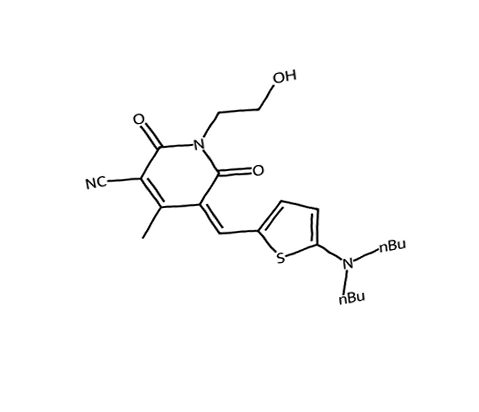 CCCCN(CCCC)c1ccc(/C=C2\C(=O)N(CCO)C(=O)C(C#N)=C2C)s1